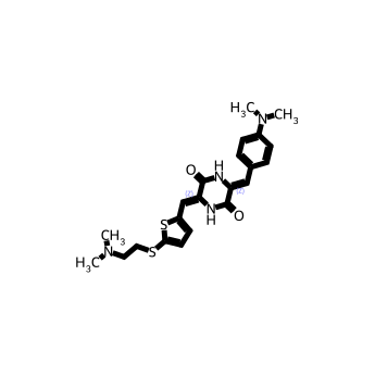 CN(C)CCSc1ccc(/C=c2\[nH]c(=O)/c(=C/c3ccc(N(C)C)cc3)[nH]c2=O)s1